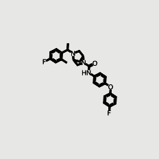 Cc1cc(F)ccc1C(C)N1CC2CC1CN2C(=O)Nc1ccc(Oc2ccc(F)cc2)cc1